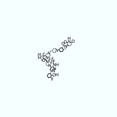 CC1(C)CN(CC2CCN(c3ccc4c(c3)C(=O)N([C@H]3CCC(=O)NC3=O)C4)CC2)CCN1C(=O)N1CCN2c3cc(-c4cccc(F)c4O)nnc3NCC2(C(F)(F)F)C1